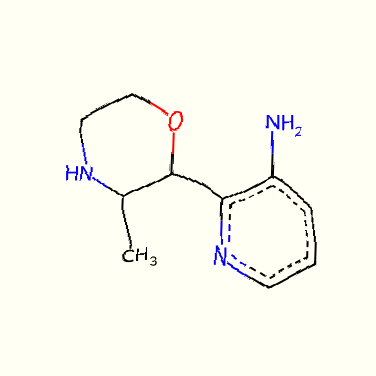 CC1NCCOC1c1ncccc1N